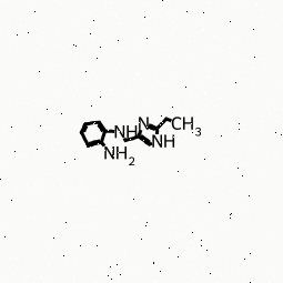 CCc1nc(CNc2ccccc2N)c[nH]1